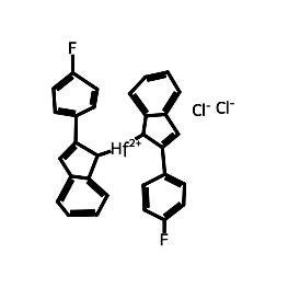 Fc1ccc(C2=Cc3ccccc3[CH]2[Hf+2][CH]2C(c3ccc(F)cc3)=Cc3ccccc32)cc1.[Cl-].[Cl-]